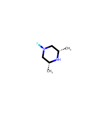 C[C@@H]1CN(F)C[C@H](C)N1